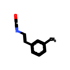 Cc1cccc(C=CN=C=O)c1